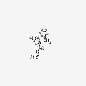 CCOC(=O)NN=C(C)c1ccccc1C